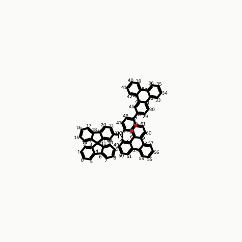 c1ccc2c(c1)-c1ccccc1C21c2ccccc2-c2ccc(N(c3ccc(-c4ccc5c6ccccc6c6ccccc6c5c4)cc3)c3cccc4c5ccccc5c5ccccc5c34)cc21